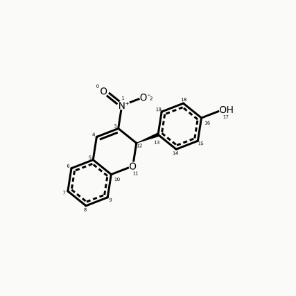 O=[N+]([O-])C1=Cc2ccccc2O[C@@H]1c1ccc(O)cc1